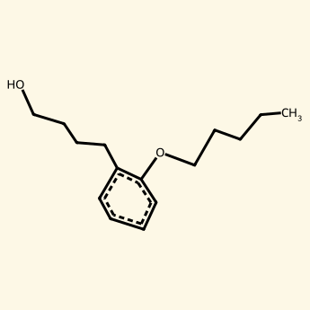 CCCCCOc1ccccc1CCCCO